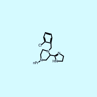 CCCN1CCN(Cc2ccccc2Cl)C(C2=NCCN2)C1